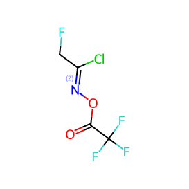 O=C(O/N=C(\Cl)CF)C(F)(F)F